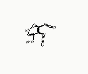 CCCCCCC1=NNOC(N=C=O)=C1N=C=O